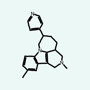 Cc1ccc2c(c1)c1c3n2CC(c2ccncc2)CCC3CN(C)C1